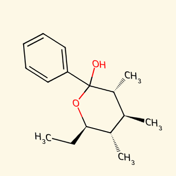 CC[C@H]1OC(O)(c2ccccc2)[C@H](C)[C@@H](C)[C@@H]1C